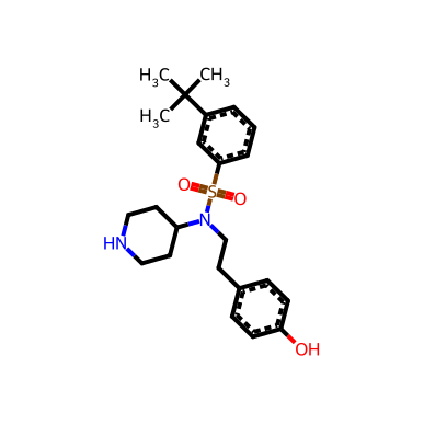 CC(C)(C)c1cccc(S(=O)(=O)N(CCc2ccc(O)cc2)C2CCNCC2)c1